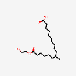 CC(CCCCCCCCCC(=O)O)CCCCCC(=O)OCCO